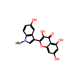 CCCCn1cc(-c2oc3cc(O)cc(O)c3c(=O)c2O)c2cc(O)ccc21